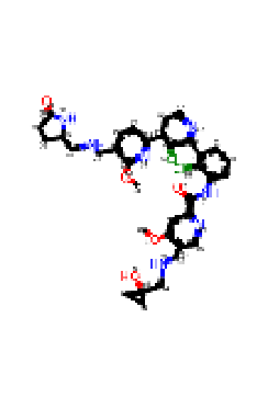 COc1cc(C(=O)Nc2cccc(-c3nccc(-c4ccc(CNCC5CCC(=O)N5)c(OC)n4)c3Cl)c2Cl)ncc1CNCC1(O)CC1